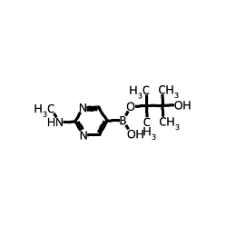 CNc1ncc(B(O)OC(C)(C)C(C)(C)O)cn1